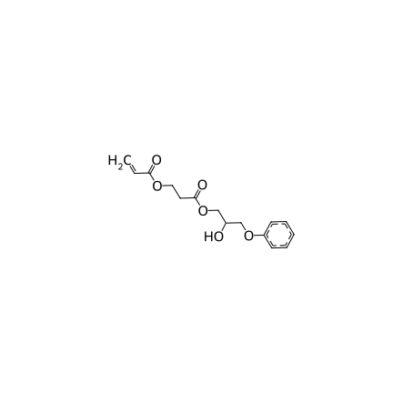 C=CC(=O)OCCC(=O)OCC(O)COc1ccccc1